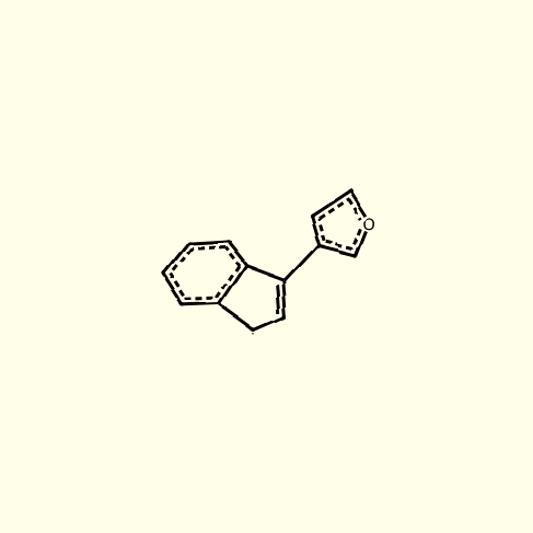 [CH]1C=C(c2ccoc2)c2ccccc21